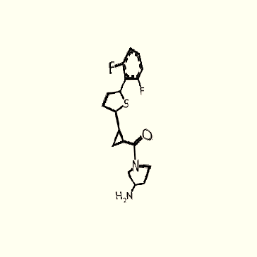 NC1CCN(C(=O)C2CC2C2CCC(c3c(F)cccc3F)S2)C1